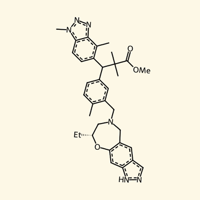 CC[C@@H]1CN(Cc2cc(C(c3ccc4c(nnn4C)c3C)C(C)(C)C(=O)OC)ccc2C)Cc2cc3cn[nH]c3cc2O1